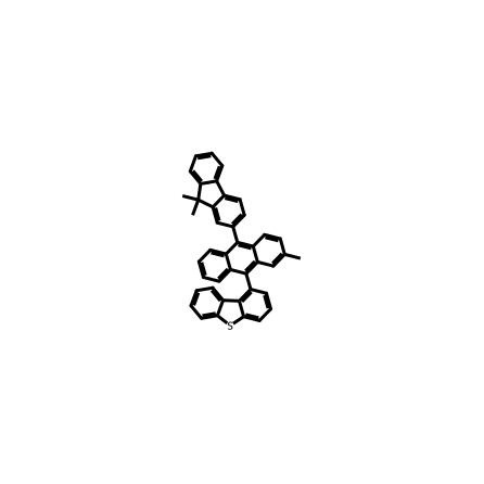 Cc1ccc2c(-c3ccc4c(c3)C(C)(C)c3ccccc3-4)c3ccccc3c(-c3cccc4sc5ccccc5c34)c2c1